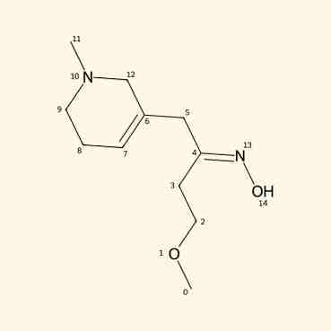 COCC/C(CC1=CCCN(C)C1)=N\O